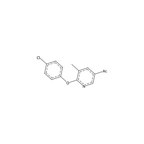 CC(=O)c1cnc(Oc2ccc(Cl)cc2)c(C)c1